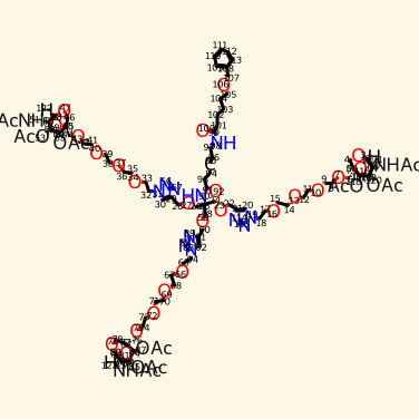 CC(=O)N[C@H]1[C@H]2OC[C@@](COCCOCCOCCOCCn3cc(COCC(COCc4cn(CCOCCOCCOCCOC[C@]56CO[C@@H](O5)[C@H](NC(C)=O)[C@@H](OC(C)=O)[C@H]6OC(C)=O)nn4)(COCc4cn(CCOCCOCCOCCOC[C@@]56CO[C@@H](O5)[C@H](NC(C)=O)[C@@H](OC(C)=O)[C@H]6OC(C)=O)nn4)NC(=O)CCCCCNC(=O)CCCCCOCc4ccccc4)nn3)(O2)[C@H](OC(C)=O)[C@@H]1OC(C)=O